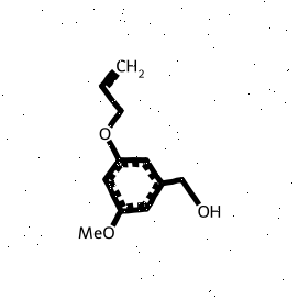 C=CCOc1cc(CO)cc(OC)c1